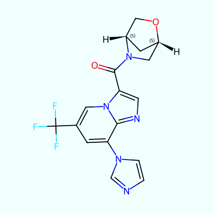 O=C(c1cnc2c(-n3ccnc3)cc(C(F)(F)F)cn12)N1C[C@@H]2C[C@H]1CO2